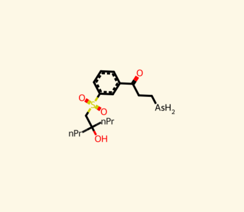 CCCC(O)(CCC)CS(=O)(=O)c1cccc(C(=O)CC[AsH2])c1